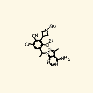 CCOc1c(C(C)n2nc(C)c3c(N)ncnc32)cc(Cl)c(C#N)c1C1CN(C(C)(C)C)C1